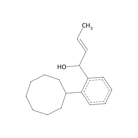 CC=CC(O)c1ccccc1C1CCCCCCC1